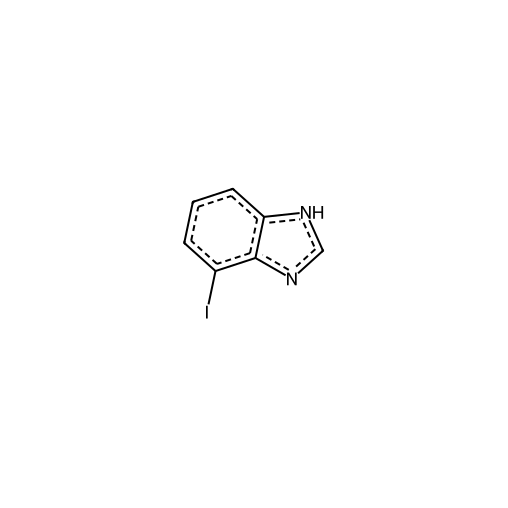 Ic1cccc2[nH]cnc12